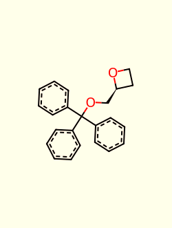 c1ccc(C(OC[C@@H]2CCO2)(c2ccccc2)c2ccccc2)cc1